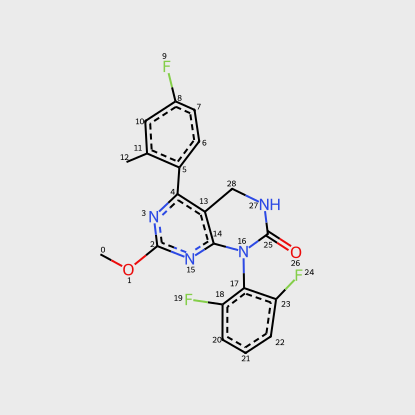 COc1nc(-c2ccc(F)cc2C)c2c(n1)N(c1c(F)cccc1F)C(=O)NC2